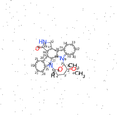 CO[C@H]1CC[C@H]2O[C@@]1(C)n1c3ccccc3c3c4c(c5c6ccccc6n2c5c31)C(=O)NC4